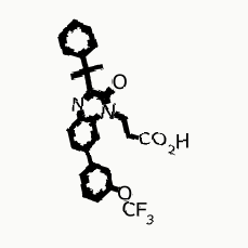 CC(C)(c1ccccc1)c1nc2ccc(-c3cccc(OC(F)(F)F)c3)cc2n(CCC(=O)O)c1=O